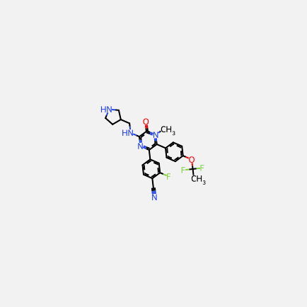 Cn1c(-c2ccc(OC(C)(F)F)cc2)c(-c2ccc(C#N)c(F)c2)nc(NCC2CCNC2)c1=O